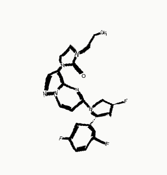 O=c1n(CCO)ccn1-c1cnn2ccc(N3C[C@@H](F)C[C@@H]3c3cc(F)ccc3F)nc12